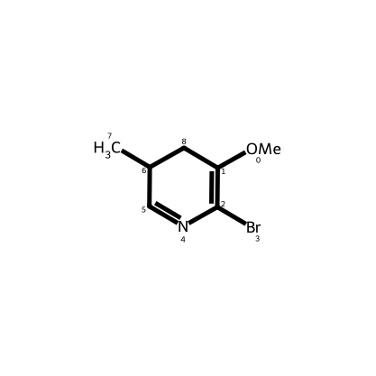 COC1=C(Br)N=CC(C)C1